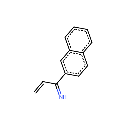 C=CC(=N)c1ccc2ccccc2c1